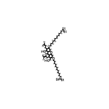 CCN(CC)CCCCCCCCCCCCOc1cc2oc3cc(OCCCCCCCCCCCCN(CC)CC)c(CO)c(CC=C(C)C)c3c(=O)c2c(O)c1CC=C(C)C